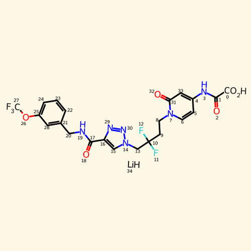 O=C(O)C(=O)Nc1ccn(CCC(F)(F)Cn2cc(C(=O)NCc3cccc(OC(F)(F)F)c3)nn2)c(=O)c1.[LiH]